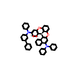 C1=CC2C(N(c3ccccc3)c3cccc(-c4ccccc4)c3)=CC3=C(B4c5c(cccc5Oc5cc(N(c6ccccc6)c6ccccc6)c6ccccc6c54)O3)C2C=C1